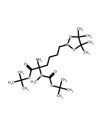 CN(C(=O)OC(C)(C)C)C(N)(CCCCB1OC(C)(C)C(C)(C)O1)C(=O)OC(C)(C)C